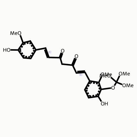 COc1cc(/C=C/C(=O)CC(=O)/C=C/c2ccc(O)c(OC(OC)(OC)OC)c2OC)ccc1O